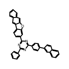 c1ccc(-c2nc(-c3ccc(-c4ccc5ccccc5c4)cc3)nc(-c3ccc4c(c3)oc3cc5ccccc5cc34)n2)cc1